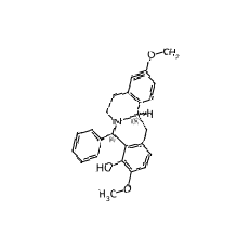 COc1ccc2c(c1)CCN1[C@H](c3ccccc3)c3c(ccc(OC)c3O)C[C@@H]21